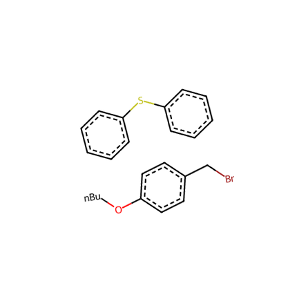 CCCCOc1ccc(CBr)cc1.c1ccc(Sc2ccccc2)cc1